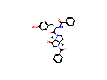 O=C(N[C@@H](Cc1ccc(O)cc1)C(=O)N1CC[C@@H]2[C@H]1C(=O)CN2C(=O)c1ccccc1)c1ccccc1